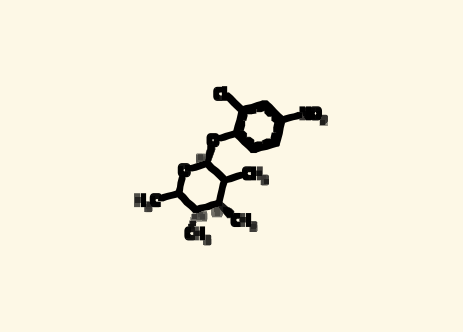 CC1O[C@@H](Oc2ccc([N+](=O)[O-])cc2Cl)C(C)[C@@H](C)[C@@H]1C